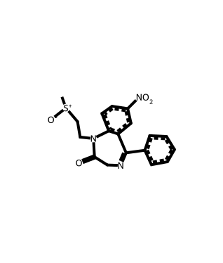 C[S+]([O-])CCN1C(=O)CN=C(c2ccccc2)c2cc([N+](=O)[O-])ccc21